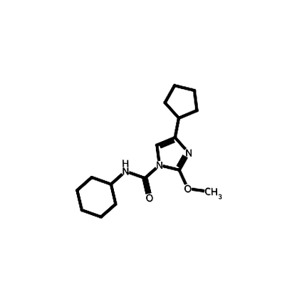 COc1nc(C2CCCC2)cn1C(=O)NC1CCCCC1